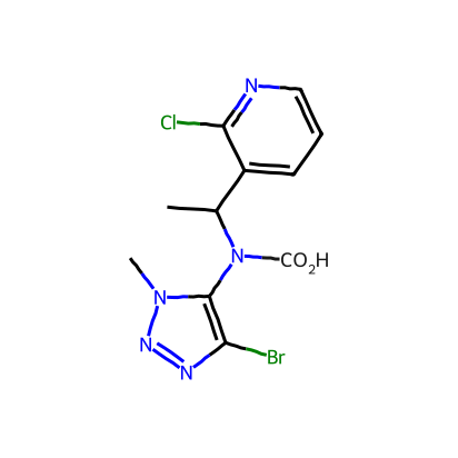 CC(c1cccnc1Cl)N(C(=O)O)c1c(Br)nnn1C